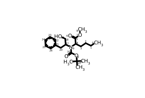 CCCCC(C(=O)OC)N(C(=O)OC(C)(C)C)C(CO)Cc1ccccc1